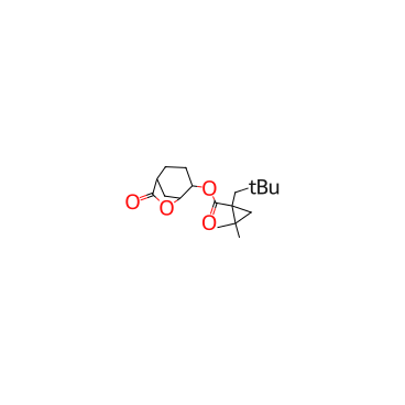 CC(C)(C)CC1(C(=O)OC2CCC3CC2OC3=O)CC1(C)C